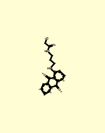 O=C(CCl)NCCCNc1cccc2c1C(=O)c1ccccc1C2=O